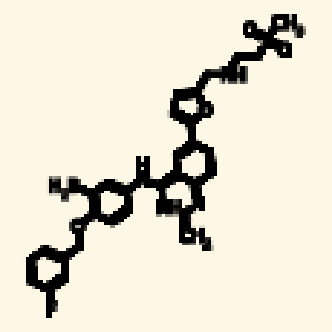 Bc1cc(N/C(N)=C2\C=C(c3ccc(CNCCS(C)(=O)=O)o3)C=C\C2=N\C=C)ccc1OCc1cccc(F)c1